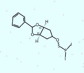 IP(I)SOC1C[C@@H]2OC(c3ccccc3)O[C@@H]2C1